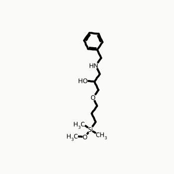 CO[Si](C)(C)CCCOCC(O)CNCc1ccccc1